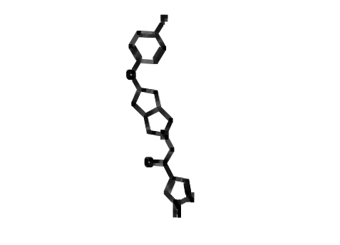 O=C(CN1CC2CC(Oc3ccc(F)cc3)CC2C1)c1cn[nH]c1